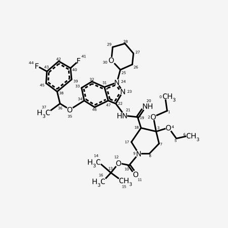 CCOC1(OCC)CCN(C(=O)OC(C)(C)C)CC1C(=N)Nc1nn(C2CCCCO2)c2ccc(OC(C)c3cc(F)cc(F)c3)cc12